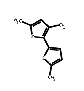 Cc1ccc(-c2sc(C)cc2C(F)(F)F)s1